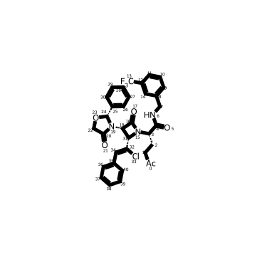 CC(=O)CC[C@@H](C(=O)NCc1cccc(C(F)(F)F)c1)N1C(=O)[C@@H](N2C(=O)CO[C@@H]2c2ccccc2)[C@H]1/C(Cl)=C/c1ccccc1